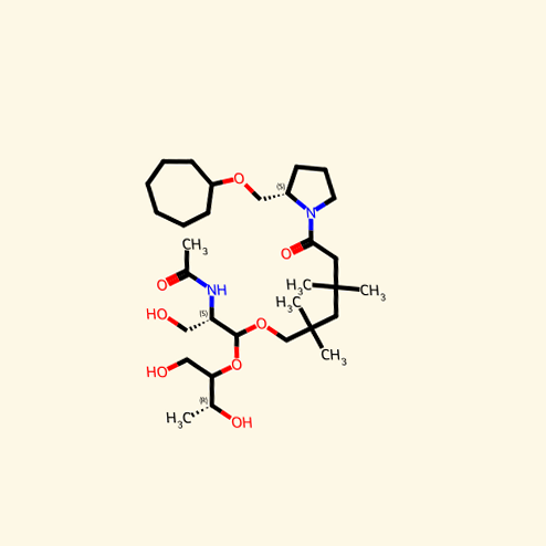 CC(=O)N[C@@H](CO)C(OCC(C)(C)CC(C)(C)CC(=O)N1CCC[C@H]1COC1CCCCCC1)OC(CO)[C@@H](C)O